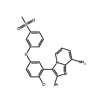 CC(C)c1nc2c(N)cccn2c1-c1cc(Oc2cccc(S(C)(=O)=O)c2)ccc1Cl